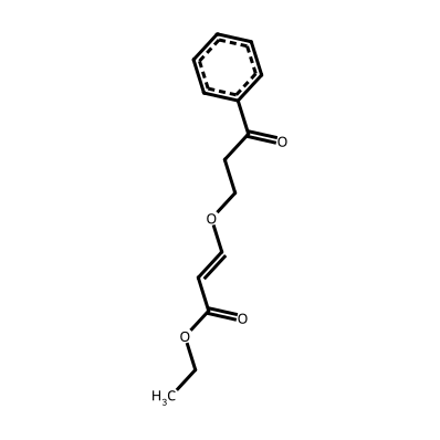 CCOC(=O)/C=C/OCCC(=O)c1ccccc1